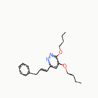 CCCCOc1cc(/C=C/Cc2ccccc2)nnc1OCCCC